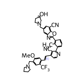 COc1cc(/C=C/c2ccnc(-c3cccc(-c4nc5cc(CN6CC[C@@H](O)C6)cc(C#N)c5o4)c3C)c2C#N)c(C(F)(F)F)cc1CN1CCCC1